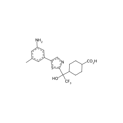 Cc1cc(N)cc(-c2cnc(C(O)(C3CCC(C(=O)O)CC3)C(F)(F)F)s2)c1